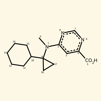 CN(c1cc(C(=O)O)ncn1)C1(C2CCCCC2)CC1